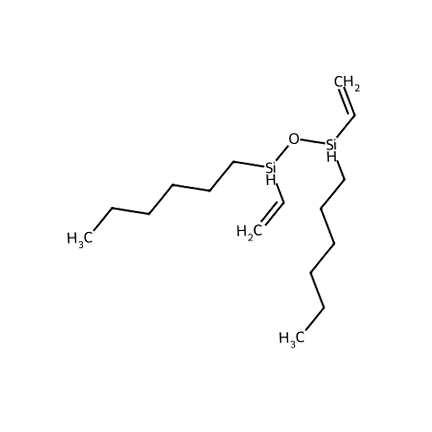 C=C[SiH](CCCCCC)O[SiH](C=C)CCCCCC